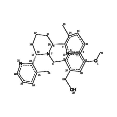 COc1ccc(CN2[C@@H](c3ncccc3C)CCC[C@H]2c2ncccc2C)c(CO)c1